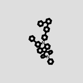 c1ccc(-c2cccc(N(c3ccc(-c4ccc(-c5ccccc5-c5ccccc5)cc4)cc3)c3cccc4c3-c3ccccc3C43c4ccccc4N(c4ccccc4)c4ccccc43)c2)cc1